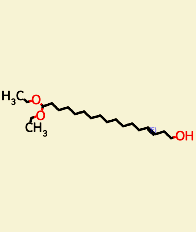 CCOC(CCCCCCCCCCCC/C=C/CCO)OCC